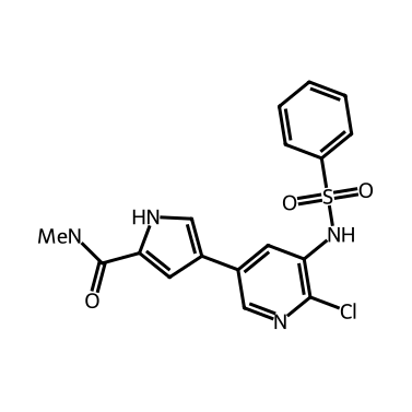 CNC(=O)c1cc(-c2cnc(Cl)c(NS(=O)(=O)c3ccccc3)c2)c[nH]1